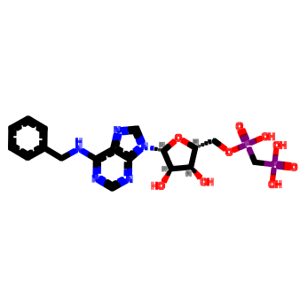 O=P(O)(O)CP(=O)(O)OC[C@H]1O[C@@H](n2cnc3c(NCc4ccccc4)ncnc32)[C@H](O)[C@@H]1O